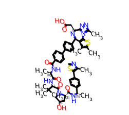 Cc1ncsc1-c1ccc([C@H](C)NC(=O)[C@@H]2C[C@@H](O)CN2C(=O)[C@@H](NC(=O)[C@@H](C)NC(=O)c2ccc(-c3ccc(C4=N[C@@H](CC(=O)O)c5nnc(C)n5-c5sc(C)c(C)c54)cc3)cc2)C(C)(C)C)cc1